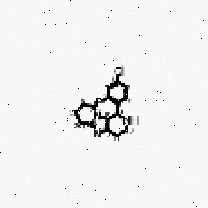 Fc1cc(Cl)ccc1C1NCCc2nc3n(c21)CCCC3